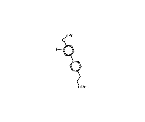 CCCCCCCCCCCCc1ccc(-c2ccc(OCCC)c(F)c2)cc1